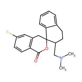 CN(C)CC1CCc2ccccc2C12Cc1cc(F)ccc1C(=O)O2